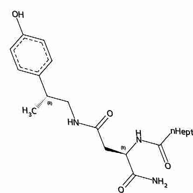 CCCCCCCC(=O)N[C@H](CC(=O)NC[C@H](C)c1ccc(O)cc1)C(N)=O